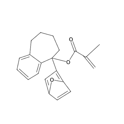 C=C(C)C(=O)OC1(c2cc3ccc2o3)CCCCc2ccccc21